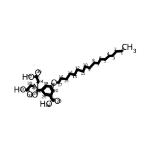 CCCCCCCCCCCCCCCCCCOc1cc(C(=O)O)cc(C(=O)N(CC(=O)O)CC(=O)O)c1